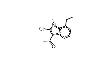 CCc1cccc2c(C(C)=O)c(Cl)n(C)c12